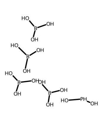 OB(O)O.OB(O)O.OB(O)O.OB(O)O.OPO